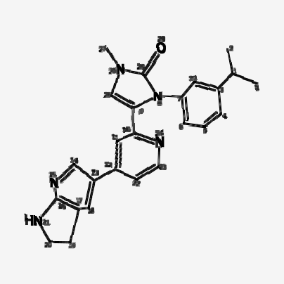 CC(C)c1cccc(-n2c(-c3cc(-c4cnc5c(c4)CCN5)ccn3)cn(C)c2=O)c1